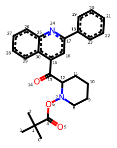 CC(C)(C)C(=O)ON1CCCCC1C(=O)c1cc(-c2ccccc2)nc2ccccc12